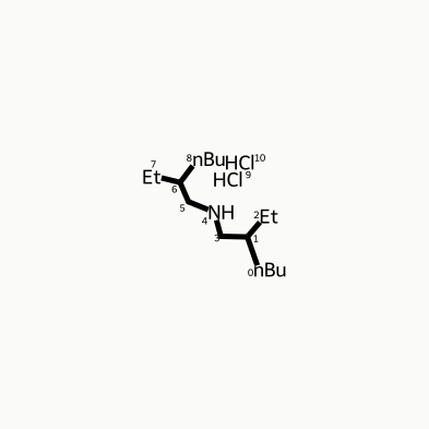 CCCCC(CC)CNCC(CC)CCCC.Cl.Cl